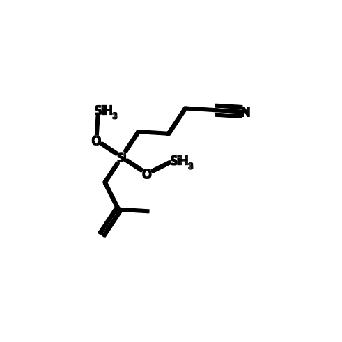 C=C(C)C[Si](CCCC#N)(O[SiH3])O[SiH3]